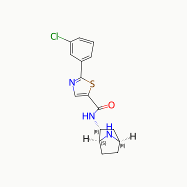 O=C(N[C@@H]1C[C@H]2CC[C@@H]1N2)c1cnc(-c2cccc(Cl)c2)s1